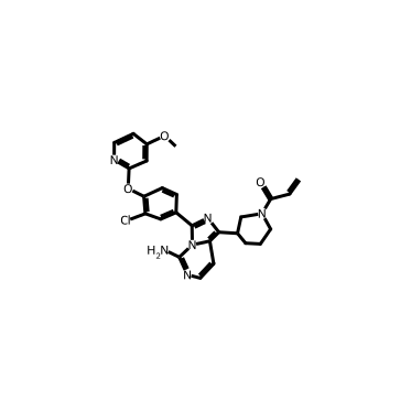 C=CC(=O)N1CCCC(c2nc(-c3ccc(Oc4cc(OC)ccn4)c(Cl)c3)n3c(N)nccc23)C1